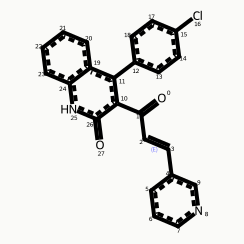 O=C(/C=C/c1cccnc1)c1c(-c2ccc(Cl)cc2)c2ccccc2[nH]c1=O